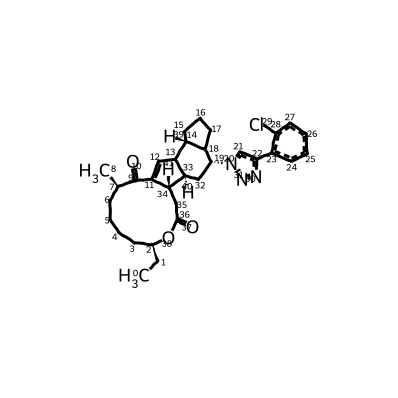 CC[C@H]1CCCC[C@@H](C)C(=O)C2=CC3[C@@H]4CCCC4[C@H](n4cc(-c5ccccc5Cl)nn4)C[C@H]3[C@@H]2CC(=O)O1